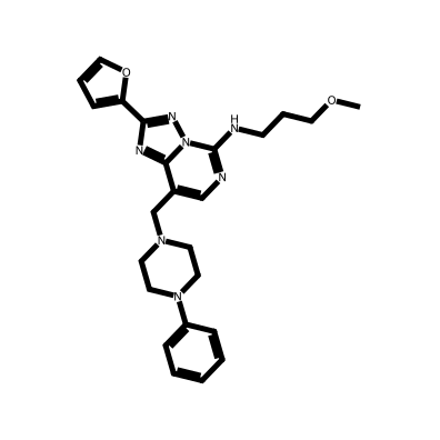 COCCCNc1ncc(CN2CCN(c3ccccc3)CC2)c2nc(-c3ccco3)nn12